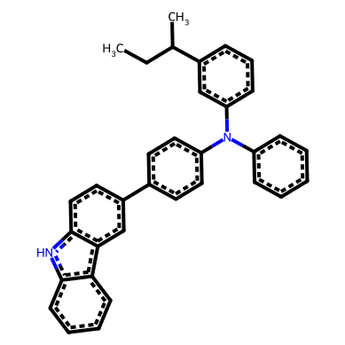 CCC(C)c1cccc(N(c2ccccc2)c2ccc(-c3ccc4[nH]c5ccccc5c4c3)cc2)c1